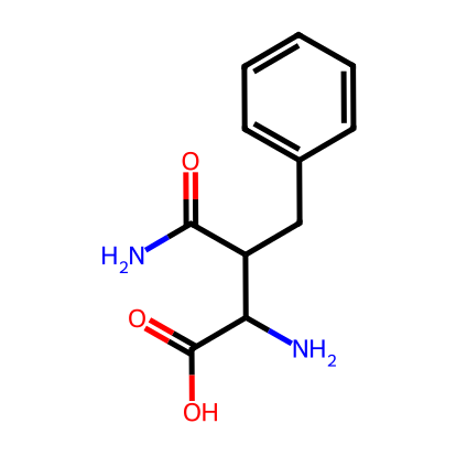 NC(=O)C(Cc1ccccc1)C(N)C(=O)O